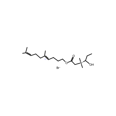 CCC(O)[N+](C)(C)CC(=O)OCCC/C=C(\C)CCC=C(C)C.[Br-]